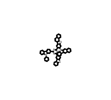 c1ccc(-n2c3ccccc3c3ccc(C4=NC(c5ccc6sc7ccccc7c6c5)NC(c5cc6c(cc5-n5c7ccccc7c7cc8ccccc8cc75)oc5c7ccccc7ccc65)=N4)cc32)cc1